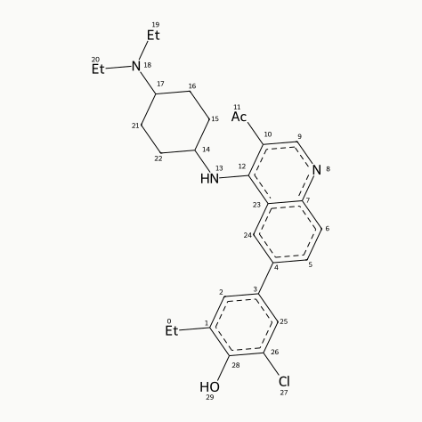 CCc1cc(-c2ccc3ncc(C(C)=O)c(NC4CCC(N(CC)CC)CC4)c3c2)cc(Cl)c1O